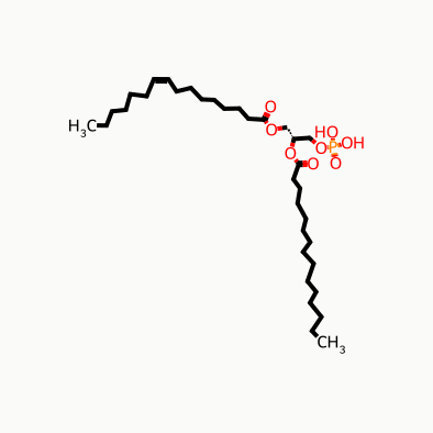 CCCCCC/C=C\CCCCCCCC(=O)OC[C@H](COP(=O)(O)O)OC(=O)CCCCCCCCCCCCCC